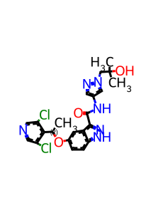 C[C@@H](Oc1ccc2[nH]nc(C(=O)Nc3cnn(CC(C)(C)O)c3)c2c1)c1c(Cl)cncc1Cl